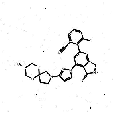 N#Cc1cccc(F)c1-c1cc(-n2ccc(N3CC[C@]4(C3)OC[C@@H](O)CO4)n2)c2c(n1)CNC2=O